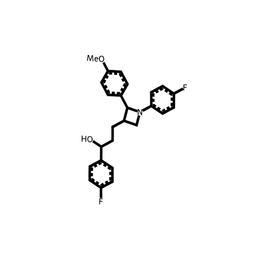 COc1ccc(C2C(CCC(O)c3ccc(F)cc3)CN2c2ccc(F)cc2)cc1